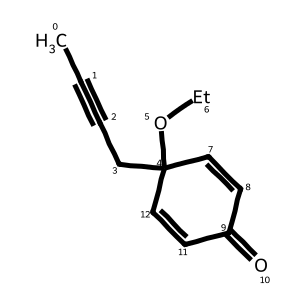 CC#CCC1(OCC)C=CC(=O)C=C1